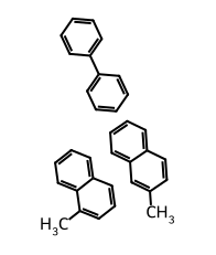 Cc1ccc2ccccc2c1.Cc1cccc2ccccc12.c1ccc(-c2ccccc2)cc1